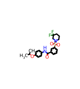 CC(C)Oc1ccc(NC(=O)c2cccc(S(=O)(=O)N3CCCC(F)(F)C3)c2)cc1